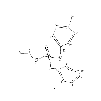 CCOP(=O)(Cc1ccccc1)Oc1ccc(C)cc1